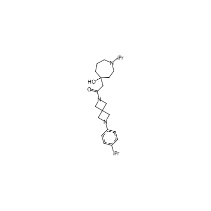 CC(C)c1ccc(N2CC3(CN(C(=O)CC4(O)CCCN(C(C)C)CC4)C3)C2)cc1